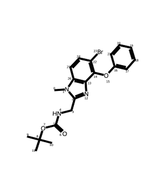 Cn1c(CNC(=O)OC(C)(C)C)nc2c(Oc3ccccc3)c(Br)ccc21